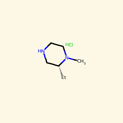 CC[C@@H]1CNCCN1C.Cl